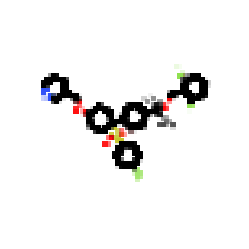 O=S(=O)(c1ccc(F)cc1)C1(c2ccc(C(OCc3c(F)cccc3F)(C(F)(F)F)C(F)(F)F)cc2)CCC(OCc2cccnc2)CC1